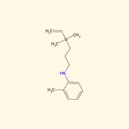 C=C[Si](C)(C)CCCNc1ccccc1C